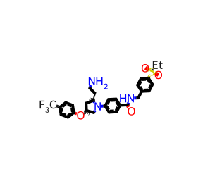 CCS(=O)(=O)c1ccc(CNC(=O)c2ccc(N3C[C@H](Oc4ccc(C(F)(F)F)cc4)C[C@H]3CCN)cc2)cc1